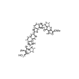 COC(=O)N[C@H](C(=O)N1CCC[C@H]1c1nc2ccc3nc(-c4cc5ccc6nc([C@@H]7CCCN7C(=O)[C@@H](NC(=O)O)C(C)C)[nH]c6c5cn4)sc3c2[nH]1)C(C)C